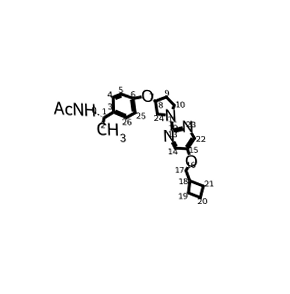 CC(=O)N[C@@H](C)c1ccc(OC2CCN(c3ncc(OCC4CCC4)cn3)C2)cc1